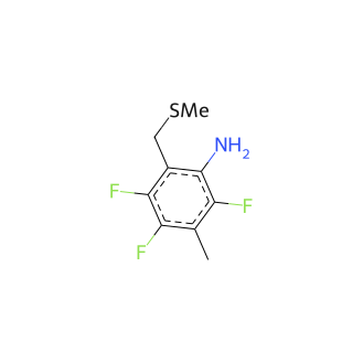 CSCc1c(N)c(F)c(C)c(F)c1F